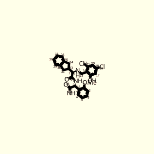 COc1ccccc1[C@@H](NC(=O)[C@H](NCc1c(O)cc(Cl)cc1Cl)C1Cc2ccccc2C1)C(N)=O